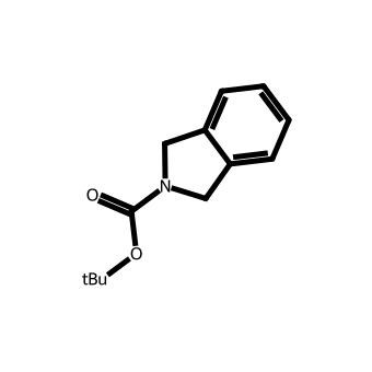 CC(C)(C)OC(=O)N1Cc2ccccc2C1